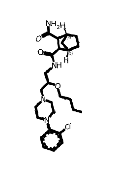 CCCCOC(CNC(=O)C1C(C(N)=O)[C@@H]2CC[C@H]1C2)CN1CCN(c2ccccc2Cl)CC1